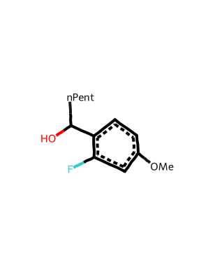 CCCCCC(O)c1ccc(OC)cc1F